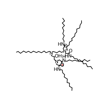 CCCCCCCCCCCCCCN(CCCC[N+](CCCCCCCCCCCCCC)(CC(=O)NCCCCCCCCCC)CC(=O)NCCCCCCCCCC)CC(O)CN(CC(=O)NCCCCCCCCCC)CC(=O)NCCCCCCCCCC